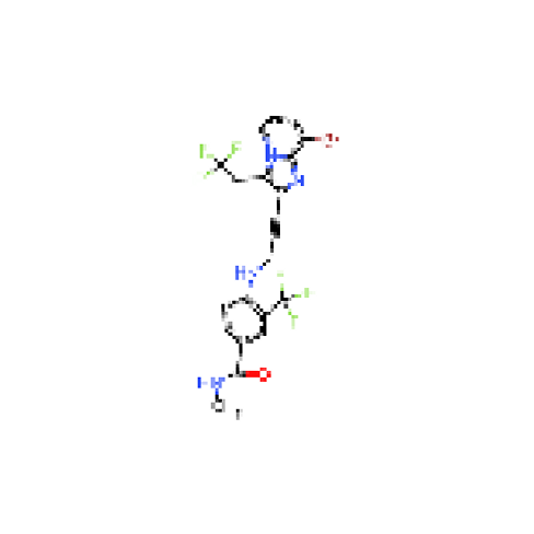 CNC(=O)c1ccc(NCC#Cc2nc3c(Br)cccn3c2CC(F)(F)F)c(C(F)(F)F)c1